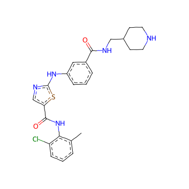 Cc1cccc(Cl)c1NC(=O)c1cnc(Nc2cccc(C(=O)NCC3CCNCC3)c2)s1